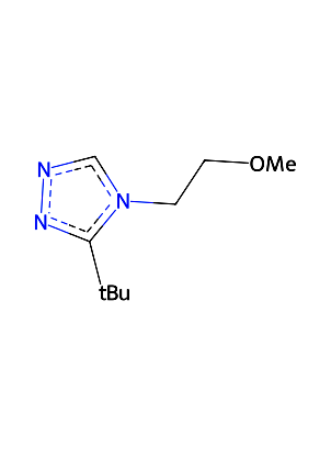 COCCn1cnnc1C(C)(C)C